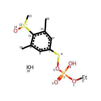 CCOP(=O)(O)OSc1cc(C)c([S+](C)[O-])c(C)c1.[KH]